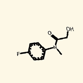 CN(C(=O)CO)c1ccc(F)cc1